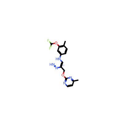 Cc1ccnc(OC/C(=C/Nc2ccc(C)c(OC(F)F)c2)N=N)n1